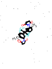 Cc1ccc(C(c2ccc(C)c(N3C(=O)C=CC3=O)c2)(C(F)(F)F)C(F)(F)F)cc1N1C(=O)C=CC1=O